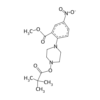 COC(=O)c1cc([N+](=O)[O-])ccc1N1CCN(OC(=O)C(C)(C)C)CC1